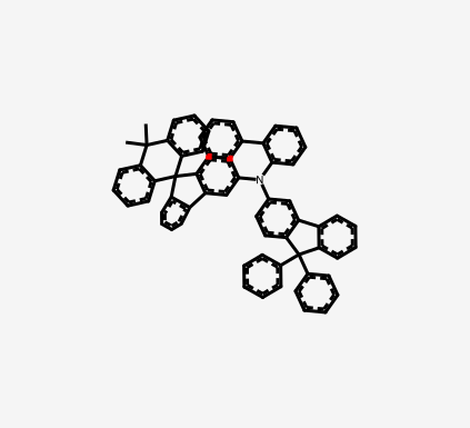 CC1(C)c2ccccc2C2(c3ccccc3-c3cc(N(c4ccc5c(c4)-c4ccccc4C5(c4ccccc4)c4ccccc4)c4ccccc4-c4ccccc4)ccc32)c2ccccc21